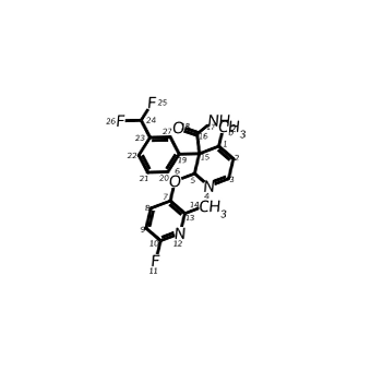 CC1=CC=NC(Oc2ccc(F)nc2C)C1(C(N)=O)c1cccc(C(F)F)c1